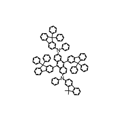 CC1(C)c2ccccc2-c2ccc(N(c3ccccc3)c3ccc4c(-c5ccc6c(c5)C(c5ccccc5)(c5ccccc5)c5ccccc5-6)c5cc(N(c6ccccc6)c6ccc7c(c6)C(c6ccccc6)(c6ccccc6)c6ccccc6-7)ccc5c(-c5ccc6c(c5)C(c5ccccc5)(c5ccccc5)c5ccccc5-6)c4c3)cc21